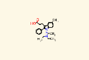 CCN(CC)CC.Cc1ccc2[nH]c(-c3ccccc3)c(CCC(=O)O)c2c1